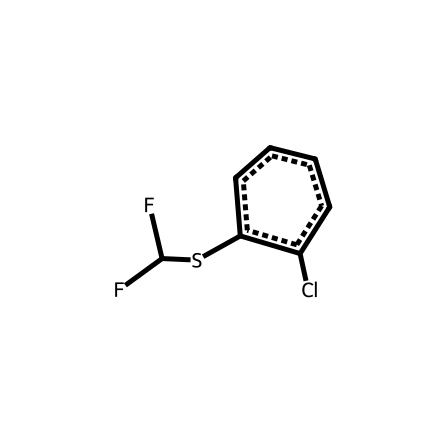 FC(F)Sc1ccccc1Cl